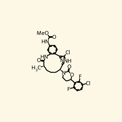 COC(=O)Nc1ccc2c(c1)NC(=O)[C@H](C)CCC[C@H](N1CCC(c3c(F)ccc(Cl)c3F)OC1=O)c1nc-2c(Cl)[nH]1